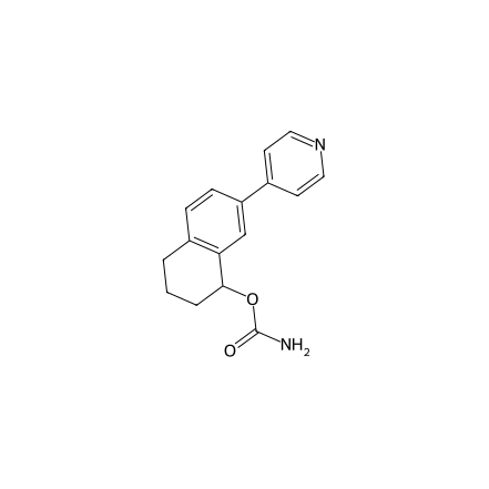 NC(=O)OC1CCCc2ccc(-c3ccncc3)cc21